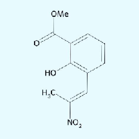 COC(=O)c1cccc(/C=C(\C)[N+](=O)[O-])c1O